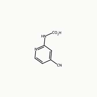 N#Cc1ccnc(NC(=O)O)c1